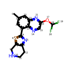 Cc1cc(-c2nc3c(s2)CNCC3)c2ncc(OC(F)F)nc2c1